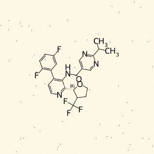 CC(C)c1ncc(C(=O)Nc2c(-c3cc(F)ccc3F)ccnc2[C@@H]2OCCC2C(F)(F)F)cn1